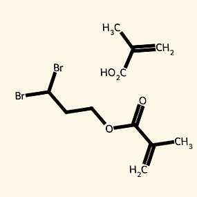 C=C(C)C(=O)O.C=C(C)C(=O)OCCC(Br)Br